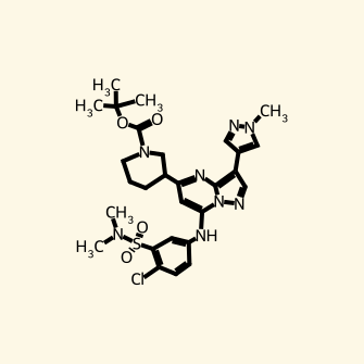 CN(C)S(=O)(=O)c1cc(Nc2cc(C3CCCN(C(=O)OC(C)(C)C)C3)nc3c(-c4cnn(C)c4)cnn23)ccc1Cl